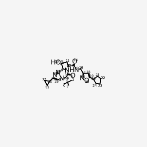 CC(C)(C)[C@@H](C(=O)N1C[C@H](O)C[C@H]1C(=O)NCc1cc(C2CCCC2)on1)n1cc(C2CC2)nn1